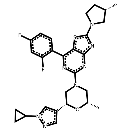 C[C@H]1CCN(c2nc3nc(N4C[C@@H](c5cnn(C6CC6)c5)O[C@@H](C)C4)nc(-c4ccc(F)cc4F)c3s2)C1